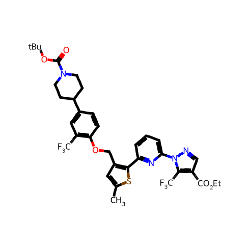 CCOC(=O)c1cnn(-c2cccc(-c3sc(C)cc3COc3ccc(C4CCN(C(=O)OC(C)(C)C)CC4)cc3C(F)(F)F)n2)c1C(F)(F)F